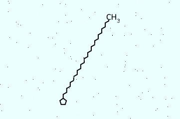 CCCCCCCCCCCCCCCCCCCCCCCCCCCC1CCCC1